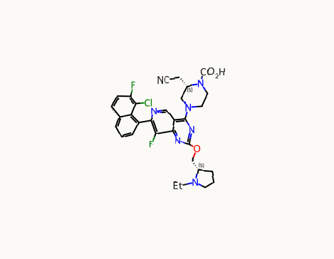 CCN1CCC[C@H]1COc1nc(N2CCN(C(=O)O)[C@@H](CC#N)C2)c2cnc(-c3cccc4ccc(F)c(Cl)c34)c(F)c2n1